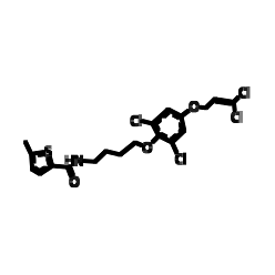 Cc1ccc(C(=O)NCCCCOc2c(Cl)cc(OCC=C(Cl)Cl)cc2Cl)s1